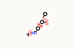 COC(=O)c1cc(S(=O)(=O)c2ccc(CCNC(=O)OC(C)(C)C)cc2)ccc1OCc1ccccc1